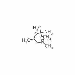 CC(CN(C)C)SC(C)(C)N